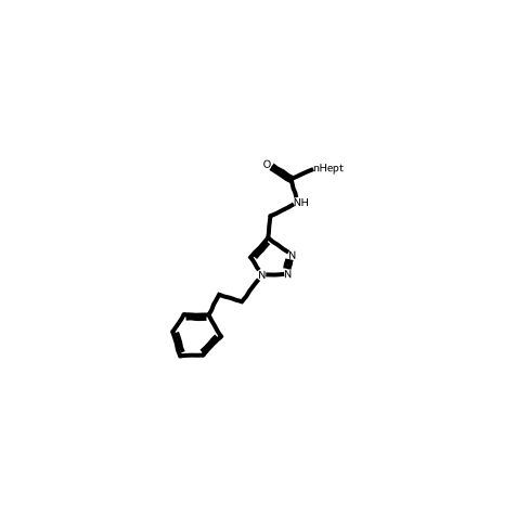 CCCCCCCC(=O)NCc1cn(CCc2ccccc2)nn1